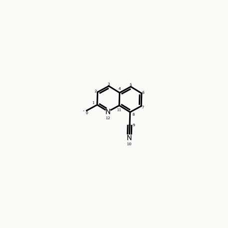 [CH2]c1ccc2cccc(C#N)c2n1